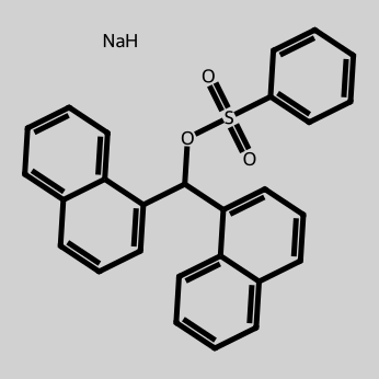 O=S(=O)(OC(c1cccc2ccccc12)c1cccc2ccccc12)c1ccccc1.[NaH]